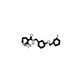 Nc1ncccc1C(=O)NCc1cccc(OCc2cccc(F)c2)c1